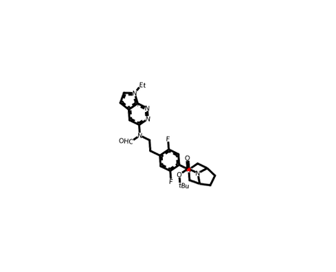 CCn1ccc2cc(N(C=O)CCc3cc(F)c(N4CC5CCC(C4)N5C(=O)OC(C)(C)C)cc3F)nnc21